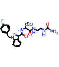 CC(C)(C)C(NC(=O)c1nn(Cc2ccc(F)cc2)c2ccccc12)C(=O)NCCNC(N)=O